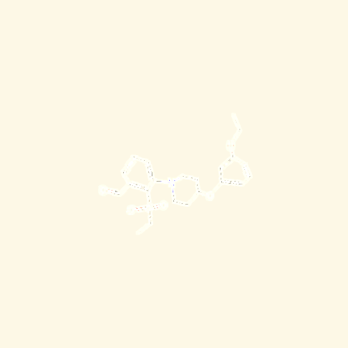 CCOc1cccc(OC2CCN(c3cccc(C=O)c3S(=O)(=O)CC)CC2)c1